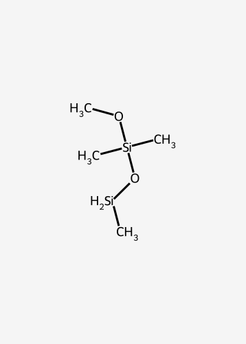 CO[Si](C)(C)O[SiH2]C